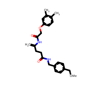 C=C(CCC(=O)NCc1ccc(COC)cc1)NC(=O)COc1ccc(C)c(C)c1